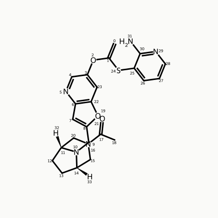 C=C(Oc1cnc2cc(CN3[C@@H]4CC[C@H]3CN(C(C)=O)C4)oc2c1)Sc1cccnc1N